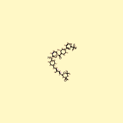 CC(/C=C/[C@@H]1C[C@]2(CO2)CC(C)(C)O1)=C\CC1CCC(NC(=O)/C=C\[C@H](C)OC(=O)C2CCN(c3ccnc(C(F)(F)F)n3)CC2)CC1